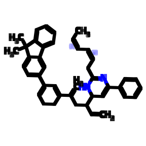 C=CC(CC(=C)C1=CC(c2ccc3c(c2)-c2ccccc2C3(C)C)=CCC1)C1C=C(c2ccccc2)N=C(C/C=C\C=C/C)N1